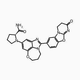 NC(=O)[C@@H]1CCCN1c1cc2c3c(c1)nc(-c1ccc4c(c1)N1CCC(=O)N=C1O4)n3CCCO2